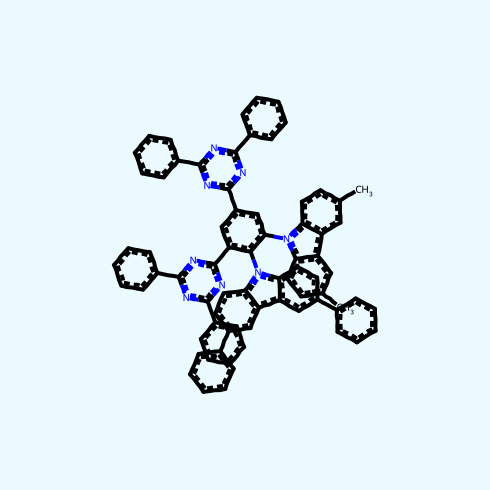 Cc1ccc2c(c1)c1cc(C)ccc1n2-c1cc(-c2nc(-c3ccccc3)nc(-c3ccccc3)n2)cc(-c2nc(-c3ccccc3)nc(-c3ccccc3)n2)c1-n1c2ccc(-c3ccccc3)cc2c2cc(-c3ccccc3)ccc21